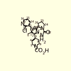 Cc1c(C2=CCN(C(=O)O)CC2)nnn1-c1cccnc1Cl.NC(=O)N1CCCC1